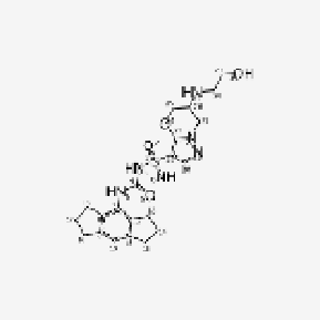 N=S(=O)(NC(=O)Nc1c2c(cc3c1CCC3)CCC2)c1cnn2c1OCC(NCCO)C2